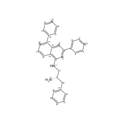 N[C@H](CNc1nc(-c2ccncc2)nc2c(-c3ccncc3)nccc12)Cc1ccccc1